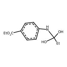 CCOC(=O)c1ccc(NC(O)(O)CC)cc1